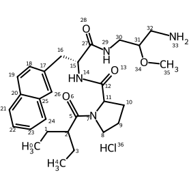 CCC(CC)C(=O)N1CCCC1C(=O)N[C@H](Cc1ccc2ccccc2c1)C(=O)NCC(CN)OC.Cl